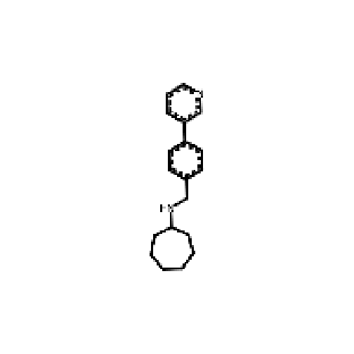 c1cncc(-c2ccc(CNC3CCCCCC3)cc2)c1